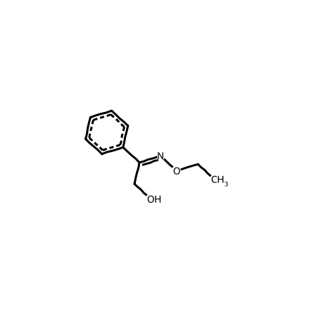 CCON=C(CO)c1ccccc1